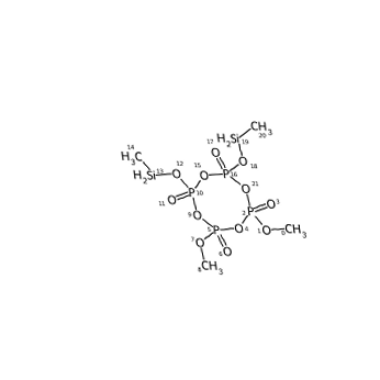 COP1(=O)OP(=O)(OC)OP(=O)(O[SiH2]C)OP(=O)(O[SiH2]C)O1